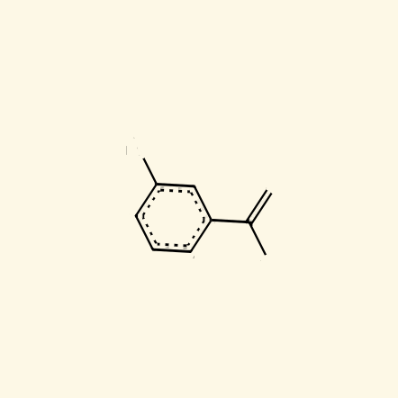 C=C(C)c1cccc(S)c1